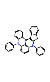 c1ccc(N2C3=C(B4c5ccccc5N(c5ccccc5)c5cccc2c54)c2ccccc2C3)cc1